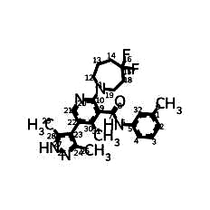 Cc1cccc(NC(=O)c2c(N3CCCC(F)(F)CC3)ncc(-c3c(C)n[nH]c3C)c2C)c1